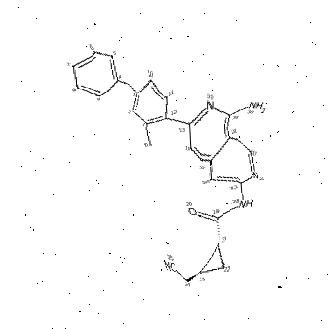 Cc1cc(-c2ccccc2)ccc1-c1cc2cc(NC(=O)[C@@H]3C[C@H]3CC#N)ncc2c(N)n1